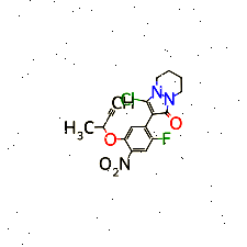 C#CC(C)Oc1cc(-c2c(Cl)n3n(c2=O)CCCC3)c(F)cc1[N+](=O)[O-]